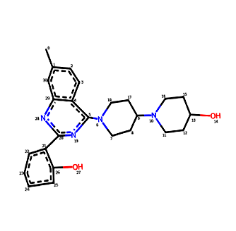 Cc1ccc2c(N3CCC(N4CCC(O)CC4)CC3)nc(-c3ccccc3O)nc2c1